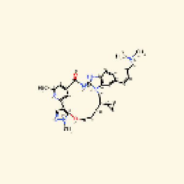 Cc1cc2cc(n1)-c1cnn(C)c1OCCCC(C1CC1)CN1/C(=N/C2=O)Nc2ccc(/C=C\CCN(C)C)cc21